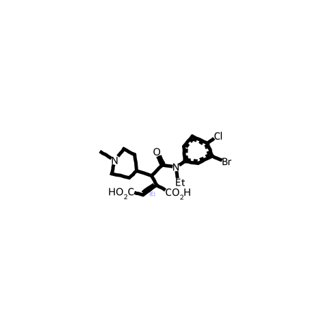 CCN(C(=O)C(/C(=C\C(=O)O)C(=O)O)C1CCN(C)CC1)c1ccc(Cl)c(Br)c1